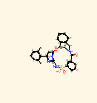 Cc1cccc(C)c1-c1cc2nc(n1)NS(=O)(=O)c1cccc(c1)C(=O)N1Cc3ccccc3C(C1)O2